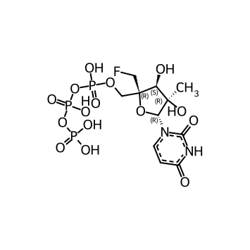 C[C@@]1(O)[C@H](O)[C@@](CF)(COP(=O)(O)OP(=O)(O)OP(=O)(O)O)O[C@H]1n1ccc(=O)[nH]c1=O